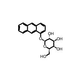 OC[C@H]1O[C@@H](Oc2cccc3cc4ccccc4cc23)[C@H](O)[C@@H](O)[C@H]1O